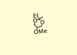 CCC1(C)OCC(OC)CO1